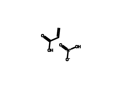 C=CC(=O)O.O=[N+]([O-])O